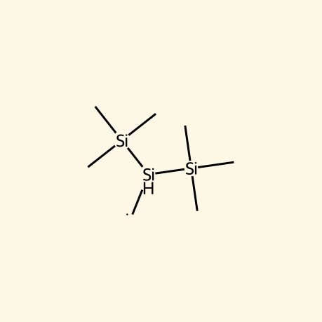 [CH2][SiH]([Si](C)(C)C)[Si](C)(C)C